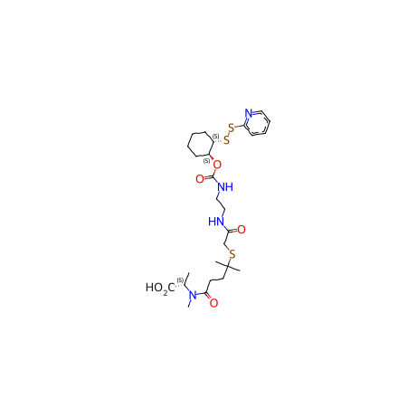 C[C@@H](C(=O)O)N(C)C(=O)CCC(C)(C)SCC(=O)NCCNC(=O)O[C@H]1CCCC[C@@H]1SSc1ccccn1